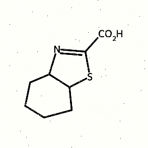 O=C(O)C1=NC2CCCCC2S1